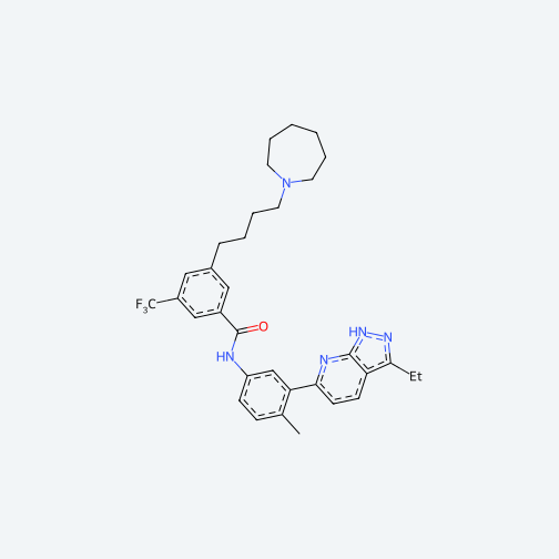 CCc1n[nH]c2nc(-c3cc(NC(=O)c4cc(CCCCN5CCCCCC5)cc(C(F)(F)F)c4)ccc3C)ccc12